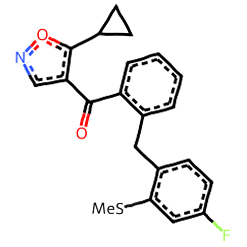 CSc1cc(F)ccc1Cc1ccccc1C(=O)c1cnoc1C1CC1